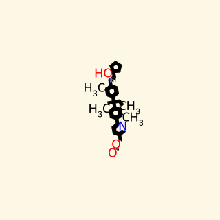 CCC(CC)(c1ccc(/C=C/C2(O)CCCC2)c(C)c1)c1ccc(-c2ccc(COC=O)cn2)c(C)c1